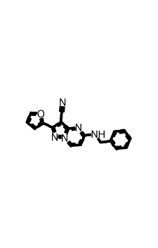 N#Cc1c(-c2ccco2)nn2ccc(NCc3ccccc3)nc12